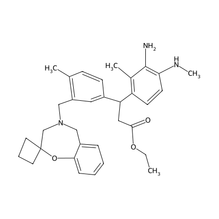 CCOC(=O)CC(c1ccc(C)c(CN2Cc3ccccc3OC3(CCC3)C2)c1)c1ccc(NC)c(N)c1C